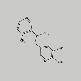 Cc1ccncc1C(C)Cc1cnc(C)c(C(C)C)c1